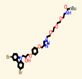 CCCCC(=O)NCCOCCOCCOCCn1cc(COc2ccc(OCC(O)Cn3c4ccc(Br)cc4c4cc(Br)ccc43)cc2)nn1